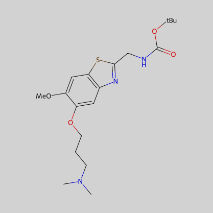 COc1cc2sc(CNC(=O)OC(C)(C)C)nc2cc1OCCCN(C)C